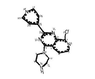 Clc1nccc2c(N3CCNCC3)nc(-c3ccncc3)nc12